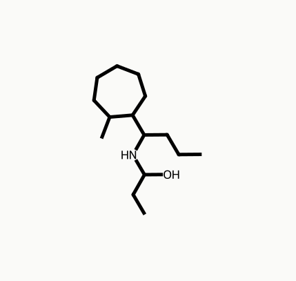 CCCC(NC(O)CC)C1CCCCCC1C